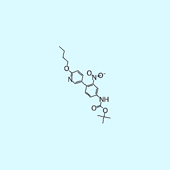 CCCCOc1ccc(-c2ccc(NC(=O)OC(C)(C)C)cc2[N+](=O)[O-])cn1